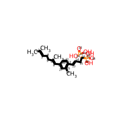 CC(C)=CCC/C(C)=C/c1ccc(/C=C/CC(P(=O)(O)O)P(=O)(O)O)c(C)c1